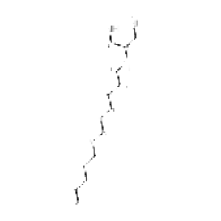 CCCCCCCCCCCCOC(CN)CN